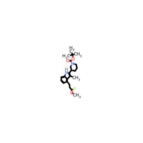 COC(F)CCc1cccc2[nH]c(C3CCCN(C(=O)OC(C)(C)C)C3)c(C)c12